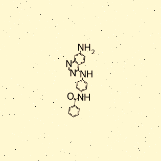 Nc1ccc2c(Nc3ccc(NC(=O)c4ccccc4)cc3)ncnc2c1